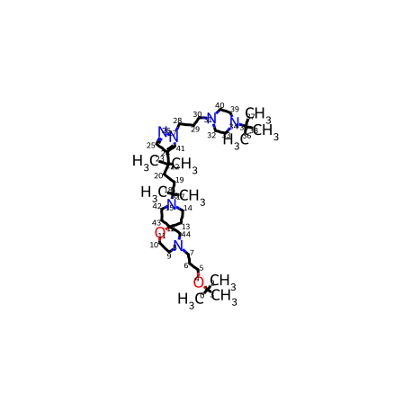 CC(C)(C)OCCCN1CCOC2(CCN(C(C)(C)CCC(C)(C)c3cnn(CCCN4CCN(C(C)(C)C)CC4)c3)CC2)C1